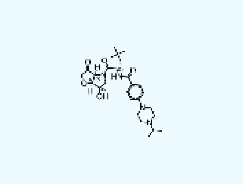 CC(C)N1CCN(c2ccc(C(=O)N[C@@H](CC(C)(C)C)C(=O)N3C[C@@H](O)[C@H]4OCC(=O)[C@H]43)cc2)CC1